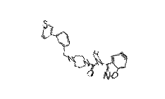 O=C(Nc1noc2ccccc12)N1CCN(Cc2cccc(-c3ccsc3)c2)CC1